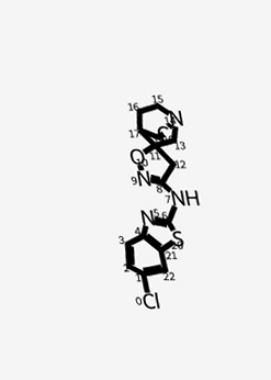 Clc1ccc2nc(NC3=NOC4(C3)CN3CCC4CC3)sc2c1